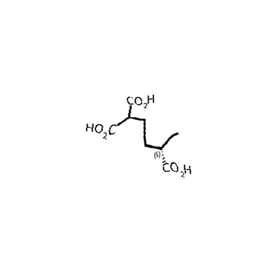 C[C@@H](CCC(C(=O)O)C(=O)O)C(=O)O